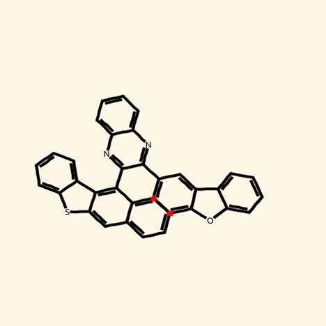 c1ccc2c(-c3nc4ccccc4nc3-c3ccc4oc5ccccc5c4c3)c3c(cc2c1)sc1ccccc13